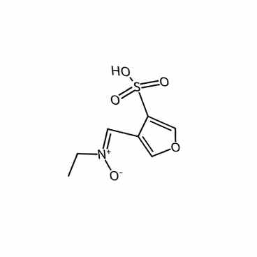 CC[N+]([O-])=Cc1cocc1S(=O)(=O)O